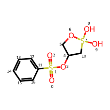 O=S(=O)(OC1COS(O)(O)C1)c1ccccc1